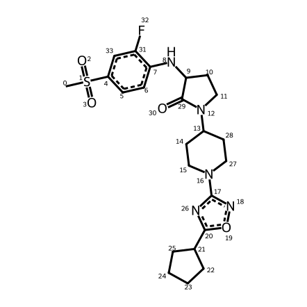 CS(=O)(=O)c1ccc(NC2CCN(C3CCN(c4noc(C5CCCC5)n4)CC3)C2=O)c(F)c1